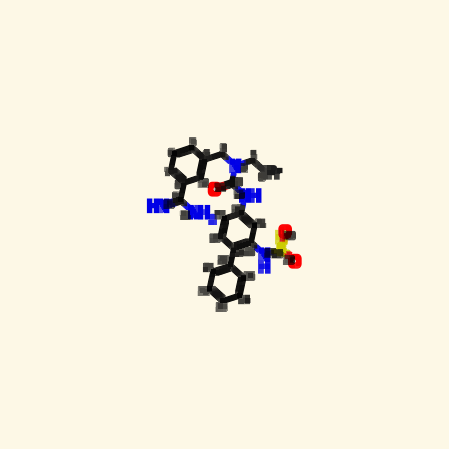 CC(C)CN(Cc1cccc(C(=N)N)c1)C(=O)Nc1ccc(-c2ccccc2)c(N[SH](=O)=O)c1